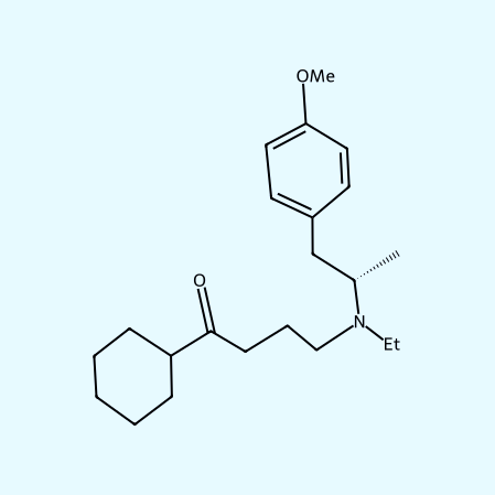 CCN(CCCC(=O)C1CCCCC1)[C@@H](C)Cc1ccc(OC)cc1